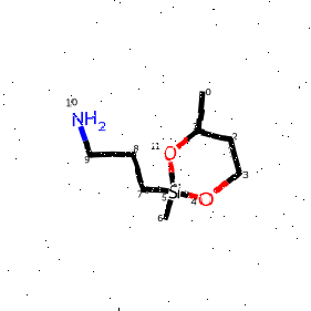 CC1CCO[Si](C)(CCCN)O1